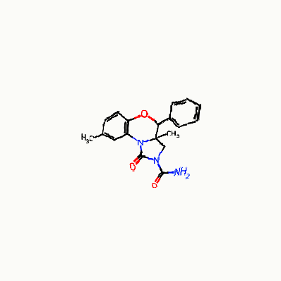 Cc1ccc2c(c1)N1C(=O)N(C(N)=O)CC1(C)C(c1ccccc1)O2